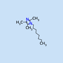 CCCCCCCCn1c(C)nc(C)c1C